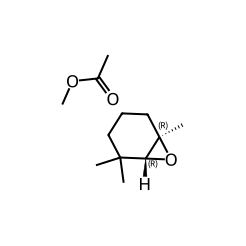 CC1(C)CCC[C@@]2(C)O[C@H]12.COC(C)=O